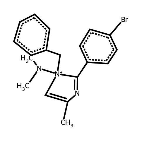 CC1=C[N+](Cc2ccccc2)(N(C)C)C(c2ccc(Br)cc2)=N1